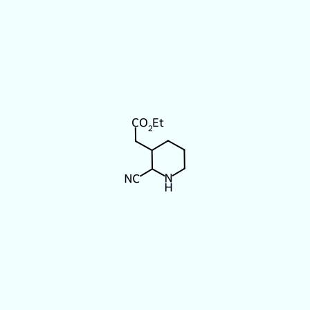 CCOC(=O)CC1CCCNC1C#N